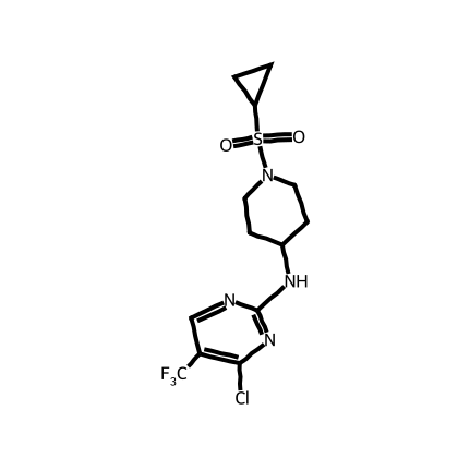 O=S(=O)(C1CC1)N1CCC(Nc2ncc(C(F)(F)F)c(Cl)n2)CC1